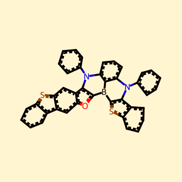 c1ccc(N2c3cccc4c3B(c3oc5cc6c(cc5c32)sc2ccccc26)c2sc3ccccc3c2N4c2ccccc2)cc1